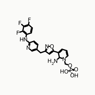 NC1C(c2cc(Cc3ccc(Nc4ccc(F)c(F)c4F)nc3)no2)=CC=CN1COP(=O)(O)O